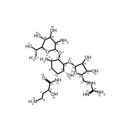 C[C@@H](O)C1O[C@H](O[C@@H]2C(N)C[C@@H](NC(=O)[C@@H](O)CCN)[C@@H](O)C2O[C@@H]2O[C@H](CNC(=N)N)C(O)C2O)C(N)C(O)[C@@H]1O